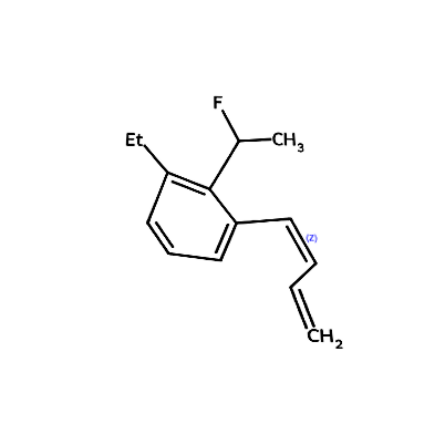 C=C/C=C\c1cccc(CC)c1C(C)F